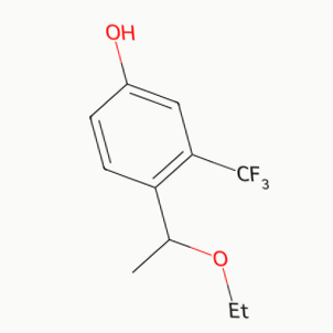 CCOC(C)c1ccc(O)cc1C(F)(F)F